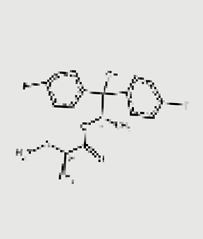 C[C@H](OC(=O)[C@@H](C)NP)C(O)(c1ccc(F)cc1)c1ccc(F)cc1